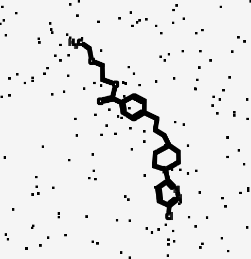 CCOCCOC(=O)c1ccc(CCCC2CCN(c3ccc(Cl)nn3)CC2)cc1